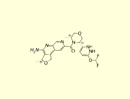 C[C@@H]1COC[C@H](C2=CC=C(OC(F)F)NN2)N1C(=O)c1cc2c3c(c(N)nc2cn1)[C@@H](C)OC3